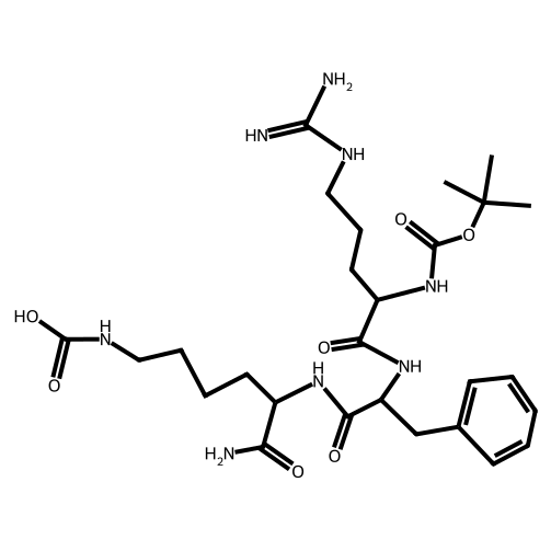 CC(C)(C)OC(=O)NC(CCCNC(=N)N)C(=O)NC(Cc1ccccc1)C(=O)NC(CCCCNC(=O)O)C(N)=O